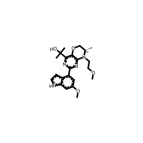 COCCN1c2nc(-c3cc(OC)cc4[nH]ccc34)nc(C(C)(C)O)c2OC[C@@H]1C